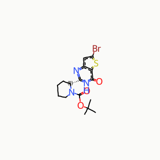 CC(C)(C)OC(=O)N1CCCC[C@@H]1c1nc2cc(Br)sc2c(=O)[nH]1